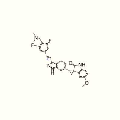 COc1ccc2c(c1)C1(CC1c1ccc3c(/C=C/c4cc(F)c(CN(C)C)c(F)c4)n[nH]c3c1)C(=O)N2